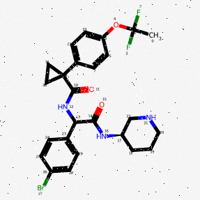 CC(F)(F)Oc1ccc(C2(C(=O)NC(C(=O)N[C@@H]3CCCNC3)c3ccc(Br)cc3)CC2)cc1